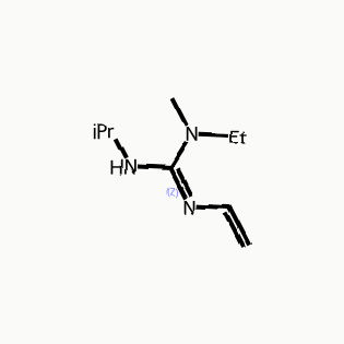 C=C/N=C(/NC(C)C)N(C)CC